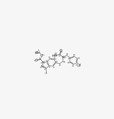 CC(C)(C)OC(=O)n1nc(I)c2cc3c(cc21)NC(=O)N(Cc1ccc(F)cc1)CC3